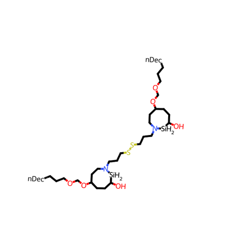 CCCCCCCCCCCCCOCOC1CCC(O)[SiH2]N(CCCSSCCCN2CCC(OCOCCCCCCCCCCCCC)CCC(O)[SiH2]2)CC1